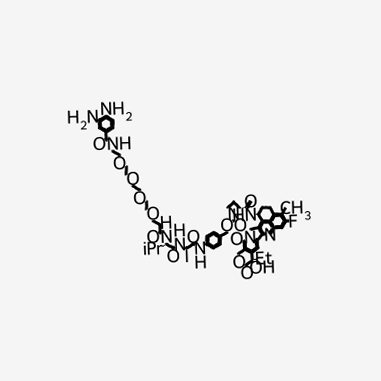 CC[C@]1(O)C(=O)OCc2c1cc1n(c2=O)Cc2c-1nc1cc(F)c(C)c3c1c2[C@H](NC(=O)[C@H]1CCN1C(=O)OCc1ccc(NC(=O)C(I)NC(=O)[C@@H](NC(=O)CCOCCOCCOCCOCCNC(=O)c2ccc(N)c(N)c2)C(C)C)cc1)CC3